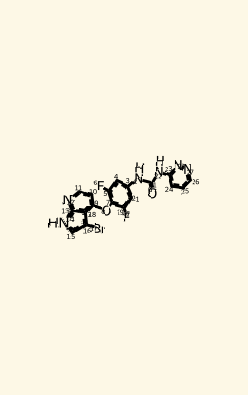 O=C(Nc1cc(F)c(Oc2ccnc3[nH]cc(Br)c23)c(F)c1)Nc1cccnn1